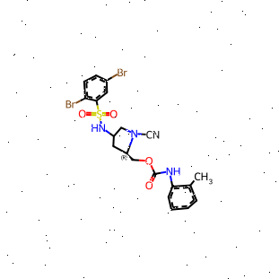 Cc1ccccc1NC(=O)OC[C@H]1CC(NS(=O)(=O)c2cc(Br)ccc2Br)CN1C#N